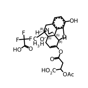 CC(=O)OC(CC(=O)OC1=CC[C@@]2(O)[C@H]3Cc4ccc(O)c5c4[C@@]2(CCN3C)[C@H]1O5)C(=O)O.O=C(O)C(F)(F)F